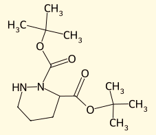 CC(C)(C)OC(=O)C1CCCNN1C(=O)OC(C)(C)C